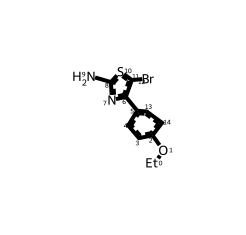 CCOc1ccc(-c2nc(N)sc2Br)cc1